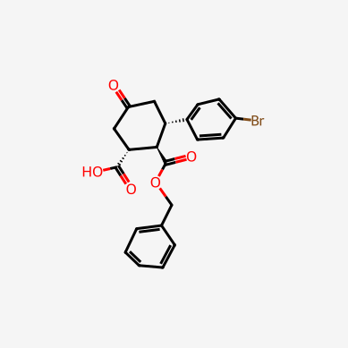 O=C1C[C@H](c2ccc(Br)cc2)[C@@H](C(=O)OCc2ccccc2)[C@H](C(=O)O)C1